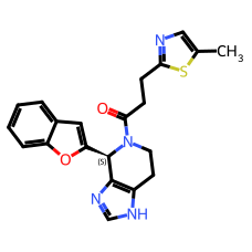 Cc1cnc(CCC(=O)N2CCc3[nH]cnc3[C@H]2c2cc3ccccc3o2)s1